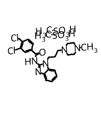 CN1CCN(CCCn2c(NC(=O)c3ccc(Cl)c(Cl)c3)nc3ccccc32)CC1.CS(=O)(=O)O.CS(=O)(=O)O